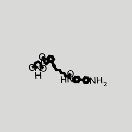 Nc1ccc(-c2ccc(NC(=O)CCCCCC#Cc3cccc4c3CN(C3CCC(=O)NC3=O)C4=O)cc2)cc1